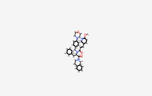 COc1ccc(C=CC(=O)N(Cc2ccc(N3CCOCC3)cc2)C(Cc2ccccc2)C(=O)N2CCc3ccccc3C2)cn1